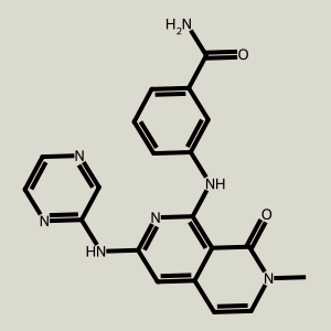 Cn1ccc2cc(Nc3cnccn3)nc(Nc3cccc(C(N)=O)c3)c2c1=O